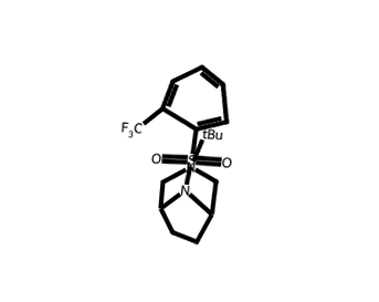 CC(C)(C)N1CC2CCC(C1)N2S(=O)(=O)c1ccccc1C(F)(F)F